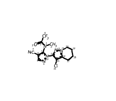 CN(C(=O)C(F)(F)F)c1c(C#N)cnn1-c1nn2c(c1Cl)CCCC2